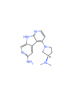 CN(C)[C@@H]1CCN(c2ccnc3[nH]c4cnc(N)cc4c23)C1